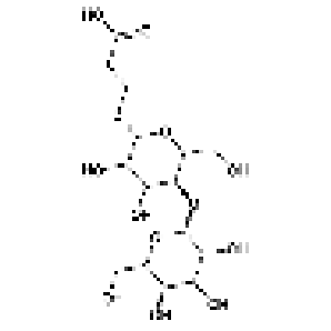 O=C(O)CCO[C@@H]1OC(CO)[C@@H](O[C@@H]2OC(CO)[C@H](O)C(O)C2O)C(O)C1O